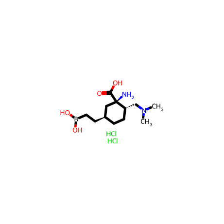 CN(C)C[C@@H]1CC[C@@H](CCB(O)O)C[C@]1(N)C(=O)O.Cl.Cl